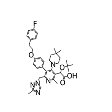 Cc1ncn(Cc2nc(C)c(C(OC(C)(C)C)C(=O)O)c(N3CCC(C)(C)CC3)c2-c2ccc(OCCc3ccc(F)cc3)cc2)n1